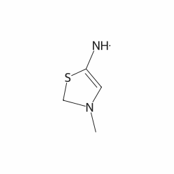 CN1C=C([NH])SC1